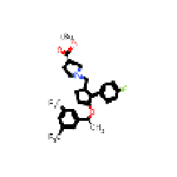 C[C@@H](OC1CCC(CN2CC[C@H](C(=O)OC(C)(C)C)C2)C1c1ccc(F)cc1)c1cc(C(F)(F)F)cc(C(F)(F)F)c1